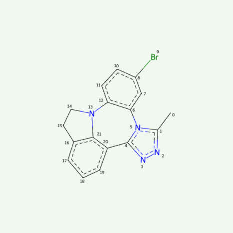 Cc1nnc2n1-c1cc(Br)ccc1N1CCc3cccc-2c31